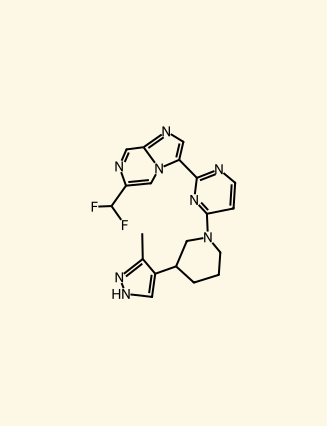 Cc1n[nH]cc1C1CCCN(c2ccnc(-c3cnc4cnc(C(F)F)cn34)n2)C1